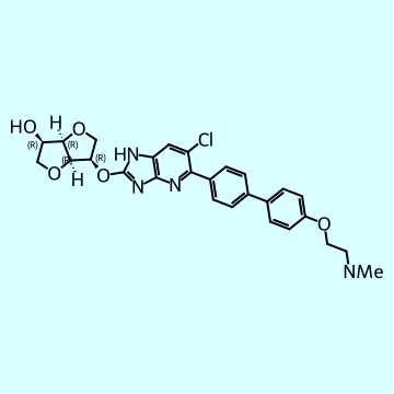 CNCCOc1ccc(-c2ccc(-c3nc4nc(O[C@@H]5CO[C@H]6[C@@H]5OC[C@H]6O)[nH]c4cc3Cl)cc2)cc1